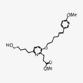 COC(=O)CCc1nc(CCCCCO)ccc1OCCCCC=Cc1ccc(OC)cc1